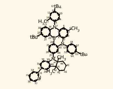 Cc1cc2c3c(c1)N(c1ccc(C(C)(C)C)cc1C)c1ccc(C(C)(C)C)cc1B3c1ccc(N3c4ccc(-c5ccccn5)cc4C4(C)CCCCC34C)cc1N2c1ccc(C(C)(C)C)cc1